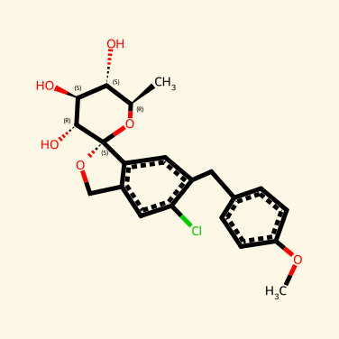 COc1ccc(Cc2cc3c(cc2Cl)CO[C@]32O[C@H](C)[C@@H](O)[C@H](O)[C@H]2O)cc1